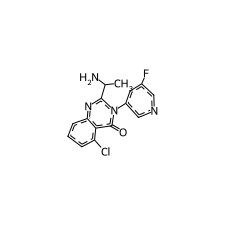 CC(N)c1nc2cccc(Cl)c2c(=O)n1-c1cncc(F)c1